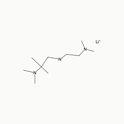 CN(C)CC[N-]CC(C)(C)N(C)C.[Li+]